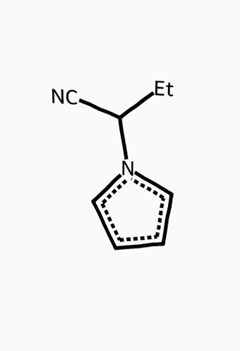 CCC(C#N)n1cccc1